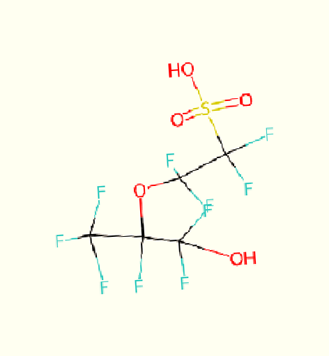 O=S(=O)(O)C(F)(F)C(F)(F)OC(F)(C(O)(F)F)C(F)(F)F